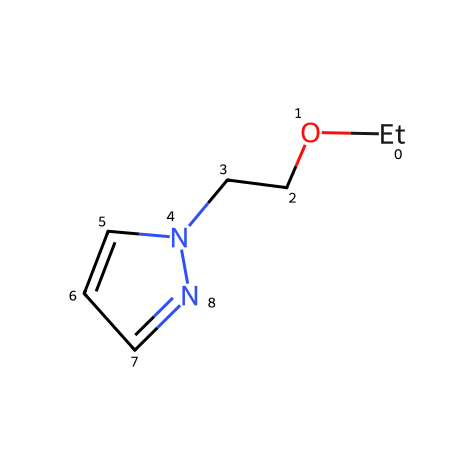 CCOCCn1cccn1